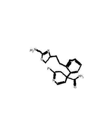 CC(C)C1=NC=CC(C(N)=O)(c2ccccc2CCC2COC(N)=N2)C1